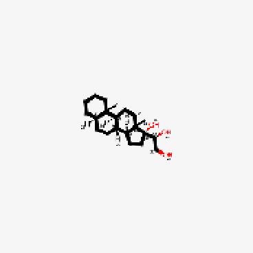 C[C@]12CCCC[C@@H]1CC[C@@H]1[C@@H]2CC[C@@]2(C)[C@H]1CC[C@]2(O)[C@@H](O)CO